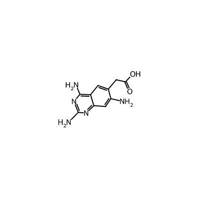 Nc1nc(N)c2cc(CC(=O)O)c(N)cc2n1